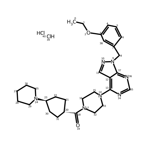 CCOc1cccc(Cn2ncc3c(N4CCN(C(=O)[C@H]5CC[C@H](N6CCCCC6)CC5)CC4)ncnc32)c1.Cl.Cl